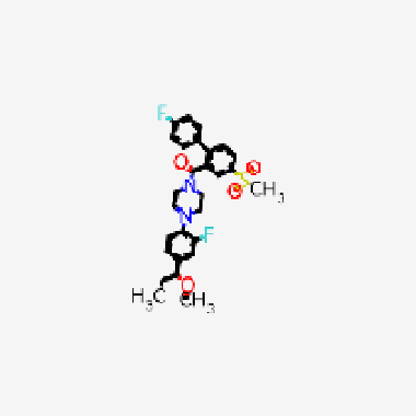 CCC(OC)c1ccc(N2CCN(C(=O)c3cc(S(C)(=O)=O)ccc3-c3ccc(F)cc3)CC2)c(F)c1